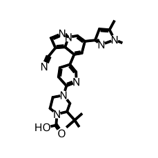 Cc1cc(-c2cc(-c3ccc(N4CCN(C(=O)O)C(C(C)(C)C)C4)nc3)c3c(C#N)cnn3c2)nn1C